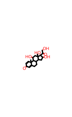 CC12C=CC(=O)C=C1CCC1C2C(O)CC2(C)C1CC(O)[C@]2(O)C(=O)CO